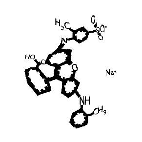 Cc1cc(S(=O)(=O)[O-])ccc1N=c1ccc2c(-c3ccccc3C(=O)O)c3ccc(Nc4ccccc4C)cc3oc-2c1.[Na+]